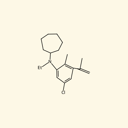 C=C(C)c1cc(Cl)cc(N(CC)C2CCCCCC2)c1C